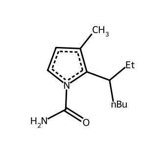 CCCCC(CC)c1c(C)ccn1C(N)=O